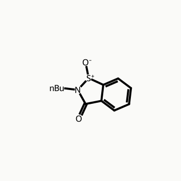 CCCCn1c(=O)c2ccccc2[s+]1[O-]